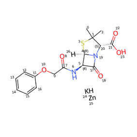 CC1(C)S[C@@H]2[C@H](NC(=O)COc3ccccc3)C(=O)N2[C@H]1C(=O)O.[KH].[Zn]